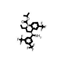 CCC1C[C@H](C(N)c2cc(C(F)(F)F)cc(C(F)(F)F)c2)c2cc(C(F)(F)F)ccc2N1C(=O)OC(C)C